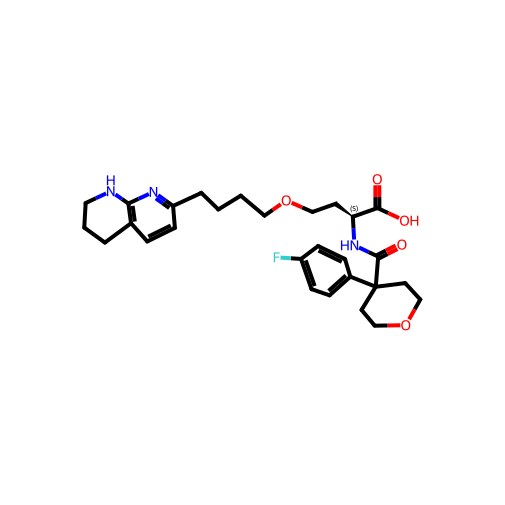 O=C(O)[C@H](CCOCCCCc1ccc2c(n1)NCCC2)NC(=O)C1(c2ccc(F)cc2)CCOCC1